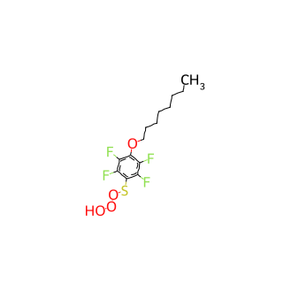 CCCCCCCCOc1c(F)c(F)c(SOOO)c(F)c1F